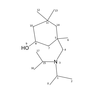 CC(C)N(CC1(C)CC(O)CC(C)(C)C1)C(C)C